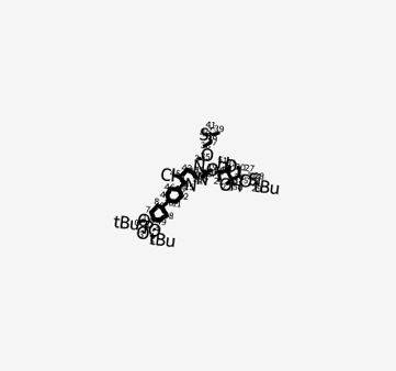 CC(C)(C)OP(=O)(OC(C)(C)C)c1ccc(-c2ccc(-c3nc4nc(O[C@@H]5CO[C@@H]6C(O[Si](C)(C)C(C)(C)C)CO[C@@H]65)n(COCC[Si](C)(C)C)c4cc3Cl)cc2)cc1